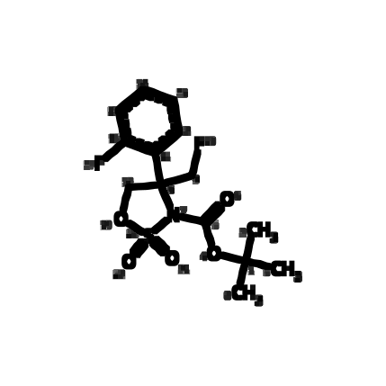 CC(C)(C)OC(=O)N1C(CF)(c2ccccc2F)COS1(=O)=O